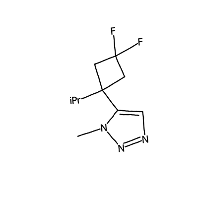 CC(C)C1(c2cnnn2C)CC(F)(F)C1